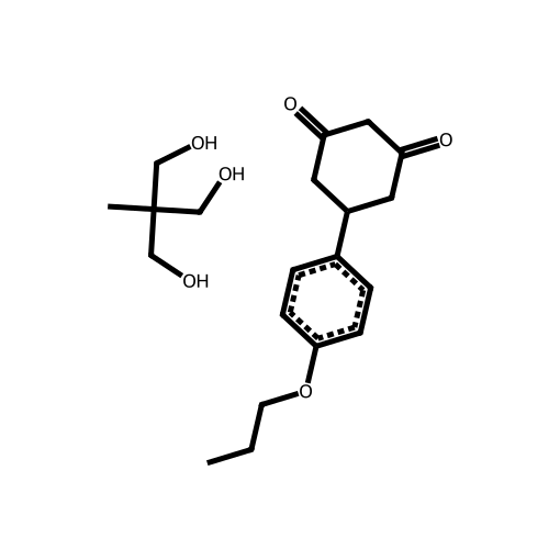 CC(CO)(CO)CO.CCCOc1ccc(C2CC(=O)CC(=O)C2)cc1